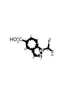 O=C(O)c1ccc2c(cnn2C(F)F)c1